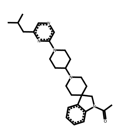 CC(=O)N1CC2(CCN(C3CCN(c4cncc(CC(C)C)n4)CC3)CC2)c2ccccc21